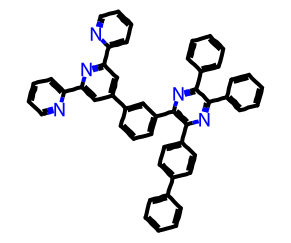 c1ccc(-c2ccc(-c3nc(-c4ccccc4)c(-c4ccccc4)nc3-c3cccc(-c4cc(-c5ccccn5)nc(-c5ccccn5)c4)c3)cc2)cc1